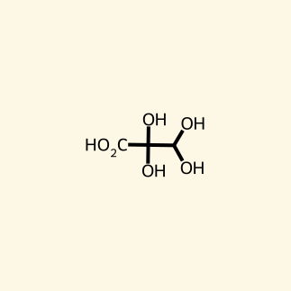 O=C(O)C(O)(O)C(O)O